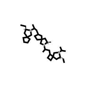 CC[C@@H]1CC2(CCC2CC(C)N2CC3(CCC(CC(C)N4CC5(CCCC5)C[C@H]4CC)C3)C[C@H]2C)CN1C(C)C